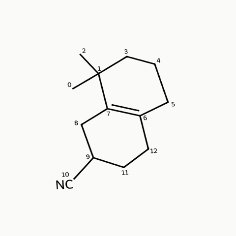 CC1(C)CCCC2=C1CC(C#N)CC2